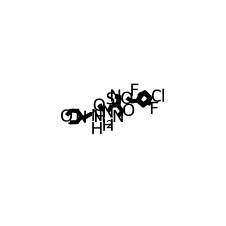 NC(=O)c1c(OCc2cc(F)c(Cl)cc2F)nsc1NC(=O)NCCN1CCOCC1